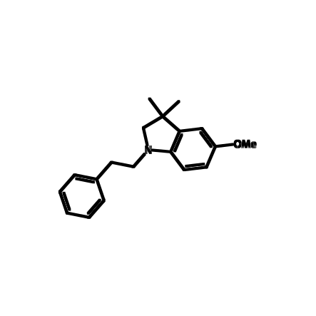 COc1ccc2c(c1)C(C)(C)CN2CCc1ccccc1